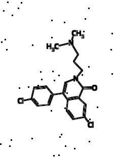 CN(C)CCCn1cc(-c2ccc(Cl)cc2)c2ccc(Cl)cc2c1=O